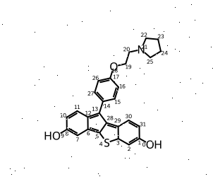 OC1=CC2SC3=c4cc(O)ccc4=C(c4ccc(OCCN5CCCC5)cc4)C3=C2C=C1